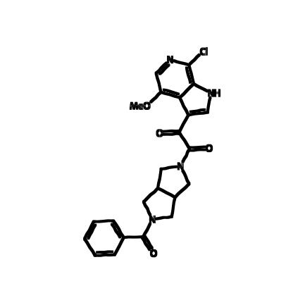 COc1cnc(Cl)c2[nH]cc(C(=O)C(=O)N3CC4CN(C(=O)c5ccccc5)CC4C3)c12